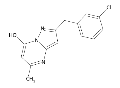 Cc1cc(O)n2nc(Cc3cccc(Cl)c3)cc2n1